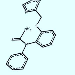 NC(=S)N(c1ccccc1)c1ccccc1SCc1ncon1